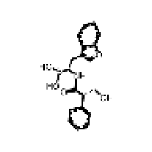 O=C(N[C@H](Cc1coc2ccccc12)B(O)O)[C@H](CO)c1ccccc1